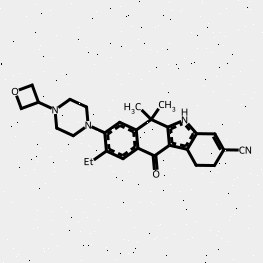 CCc1cc2c(cc1N1CCN(C3COC3)CC1)C(C)(C)c1[nH]c3c(c1C2=O)CCC(C#N)=C3